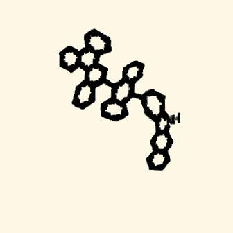 c1ccc2cc3c(cc2c1)[nH]c1ccc(-c2c4ccccc4c(-c4cc5c6ccccc6c6ccccc6c5c5ccccc45)c4ccccc24)cc13